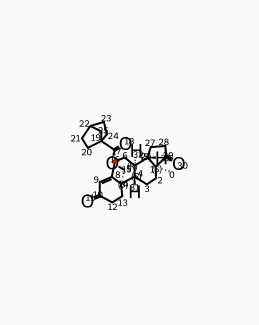 C[C@]12CC[C@H]3[C@@H](CCC4=CC(=O)CC[C@@]43COC(=O)C34CCC(CC3)C4)[C@@H]1CCC2=O